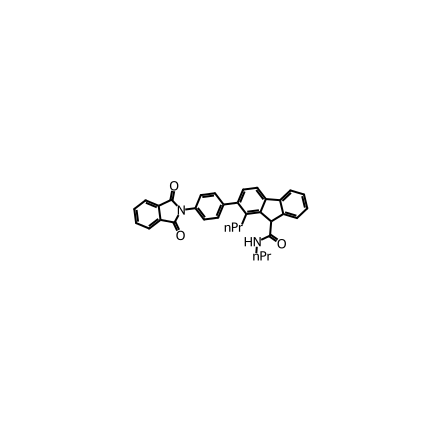 CCCNC(=O)C1c2ccccc2-c2ccc(-c3ccc(N4C(=O)c5ccccc5C4=O)cc3)c(CCC)c21